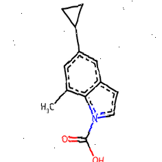 Cc1cc(C2CC2)cc2ccn(C(=O)O)c12